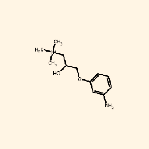 C[N+](C)(C)CC(O)COc1cccc(N)c1